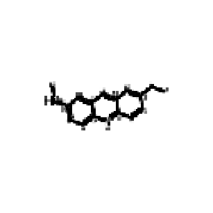 CCc1ccc2nc3ccc(NC)cc3cc2c1